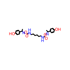 C/C(=N\OC(=O)NCCCCCCNC(=O)O/N=C(\C)c1ccc(O)cc1)c1ccc(O)cc1